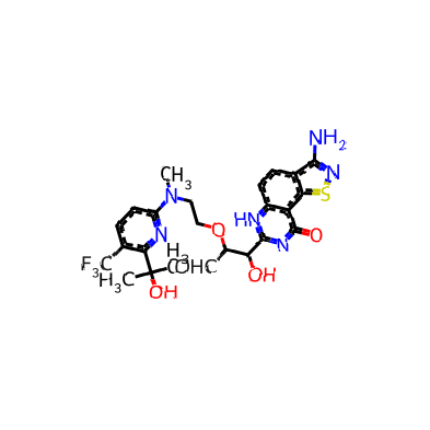 CN(CCOC(C=O)C(O)c1nc(=O)c2c(ccc3c(N)nsc32)[nH]1)c1ccc(C(F)(F)F)c(C(C)(C)O)n1